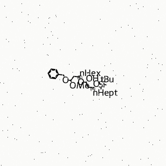 CCCCCCC[C@H](CC(O)O[C@H](CCCCCC)CC(OC)OCc1ccccc1)O[Si](C)(C)C(C)(C)C